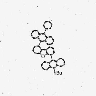 CCCCc1c2ccccc2c(-c2cccc3c2oc2cccc(-c4c5ccccc5c(-c5ccccc5)c5ccccc45)c23)c2ccccc12